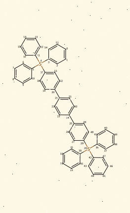 c1ccc(S(c2ccccc2)(c2ccccc2)c2ccc(-c3ccc(-c4ccc(S(c5ccccc5)(c5ccccc5)c5ccccc5)cc4)cc3)cc2)cc1